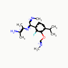 C\N=C/C(=N\C(C)=C(/C)N)c1ccc(C(C)C)c(O/C=N/C)c1F